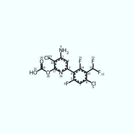 Nc1cc(-c2c(F)cc(Cl)c(C(F)F)c2F)nc(OC(=O)O)c1Cl